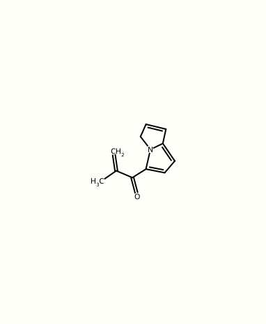 C=C(C)C(=O)c1ccc2n1CC=C2